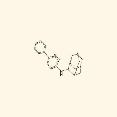 c1ccc(-c2ccc(NC3C4CC5CC3CN(C5)C4)cn2)cc1